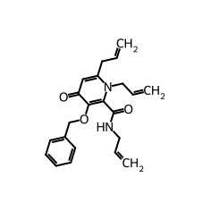 C=CCNC(=O)c1c(OCc2ccccc2)c(=O)cc(CC=C)n1CC=C